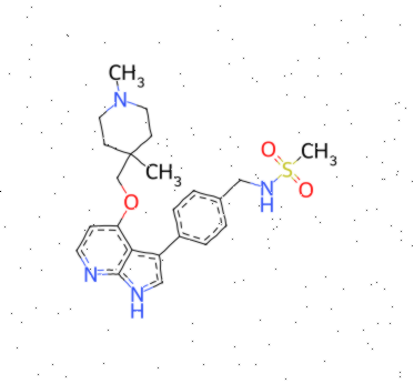 CN1CCC(C)(COc2ccnc3[nH]cc(-c4ccc(CNS(C)(=O)=O)cc4)c23)CC1